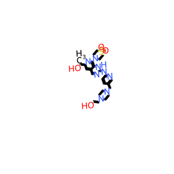 CC(O)c1cc2cnc(Nc3ccc(CN4CCN(CCO)CC4)cn3)nc2c(N2CCS(=O)(=O)CC2)n1